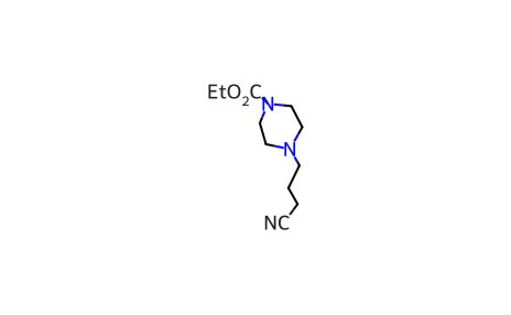 CCOC(=O)N1CCN(CCCC#N)CC1